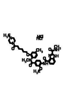 CNC(=O)c1nc2c(C(=O)Nc3ccc(C(=O)N(C)c4ccc(C)cc4OCCCCCC(=O)N4CCN(C)CC4)cc3OC)cccc2[nH]1.Cl.Cl